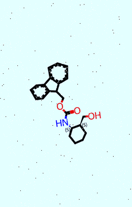 O=C(N[C@H]1CCCC[C@@H]1CO)OCC1c2ccccc2-c2ccccc21